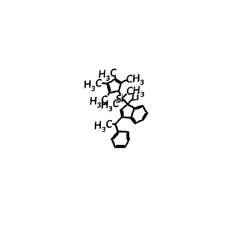 [Li][C]1([Si](C)(C)C2C(C)=C(C)C(C)=C2C)C=C(C(C)c2ccccc2)c2ccccc21